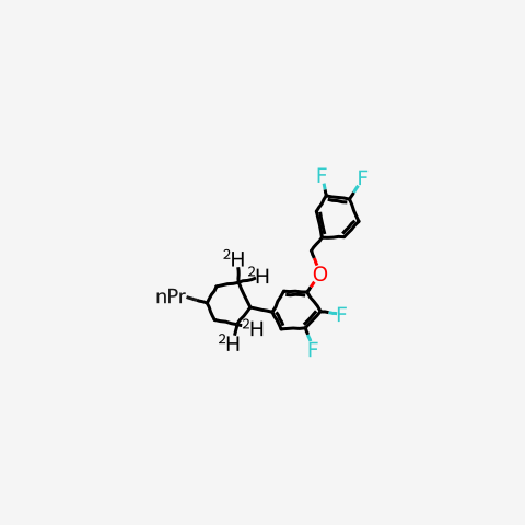 [2H]C1([2H])CC(CCC)CC([2H])([2H])C1c1cc(F)c(F)c(OCc2ccc(F)c(F)c2)c1